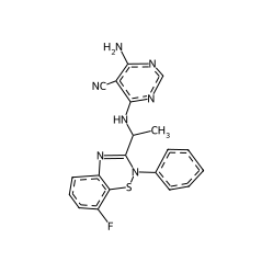 CC(Nc1ncnc(N)c1C#N)C1=Nc2cccc(F)c2SN1c1ccccc1